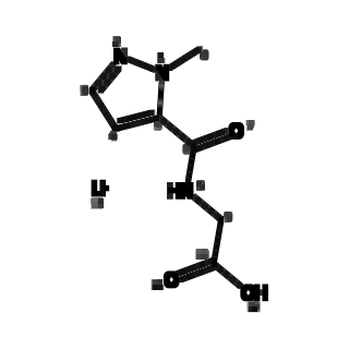 Cn1nccc1C(=O)NCC(=O)O.[Li]